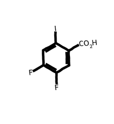 O=C(O)c1cc(F)c(F)cc1I